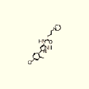 Cc1cc(Cl)ccc1-c1cc(NC(=O)CCCN2CCCC2)[nH]n1